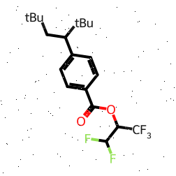 CC(C)(C)CC(c1ccc(C(=O)OC(C(F)F)C(F)(F)F)cc1)C(C)(C)C